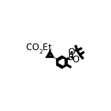 CCOC(=O)[C@@H]1C[C@H]1c1ccc(C)c(B2OC(C)(C)C(C)(C)O2)c1